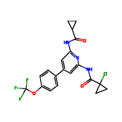 O=C(Nc1cc(-c2ccc(OC(F)(F)F)cc2)cc(NC(=O)C2(Cl)CC2)n1)C1CC1